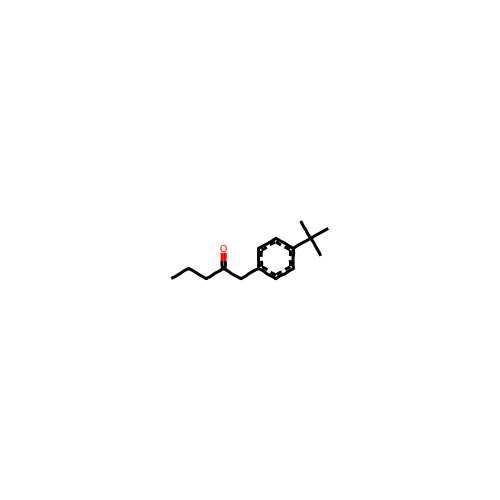 CCCC(=O)Cc1ccc(C(C)(C)C)cc1